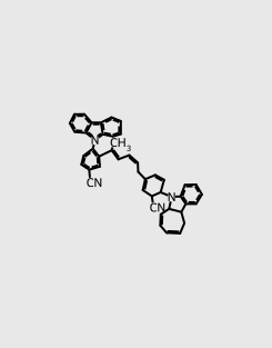 C/C(=C\C=C/CC1=CC(C#N)C(N2c3ccccc3C3CC=CC=CC32)C=C1)c1cc(C#N)ccc1-n1c2ccccc2c2ccccc21